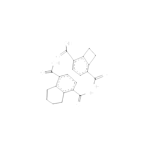 O=C(O)c1ccc(C(=O)O)c2c1CC2.O=C(O)c1ccc(C(=O)O)c2c1CCCC2